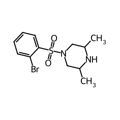 CC1CN(S(=O)(=O)c2ccccc2Br)CC(C)N1